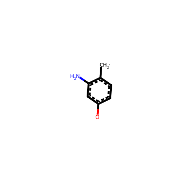 [CH2]c1ccc([O])cc1N